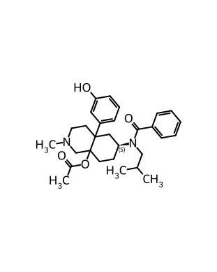 CC(=O)OC12CC[C@H](N(CC(C)C)C(=O)c3ccccc3)CC1(c1cccc(O)c1)CCN(C)C2